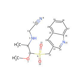 COC(C(C)NCC#N)S(=O)(=O)Cc1cnc2ccccc2c1